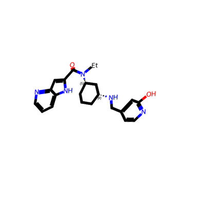 CCN(C(=O)c1cc2ncccc2[nH]1)[C@H]1CCC[C@@H](NCc2ccnc(O)c2)C1